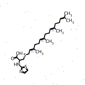 CC(C)=CCC/C(C)=C/CC/C(C)=C/CC/C(C)=C/CSCC(Nc1nccs1)C(=O)O